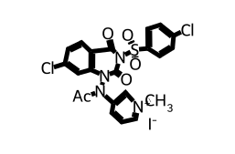 CC(=O)N(c1ccc[n+](C)c1)n1c(=O)n(S(=O)(=O)c2ccc(Cl)cc2)c(=O)c2ccc(Cl)cc21.[I-]